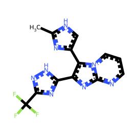 Cc1nc(-c2c(-c3nc(C(F)(F)F)n[nH]3)nc3ncccn23)c[nH]1